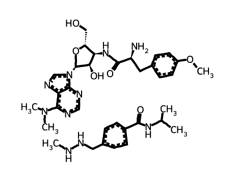 CNNCc1ccc(C(=O)NC(C)C)cc1.COc1ccc(C[C@H](N)C(=O)N[C@H]2[C@@H](O)[C@H](n3cnc4c(N(C)C)ncnc43)O[C@@H]2CO)cc1